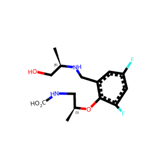 C[C@H](CO)NCc1cc(F)cc(F)c1O[C@@H](C)CNC(=O)O